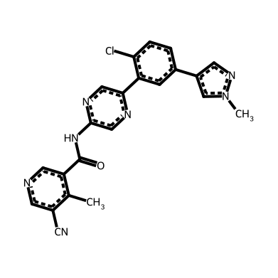 Cc1c(C#N)cncc1C(=O)Nc1cnc(-c2cc(-c3cnn(C)c3)ccc2Cl)cn1